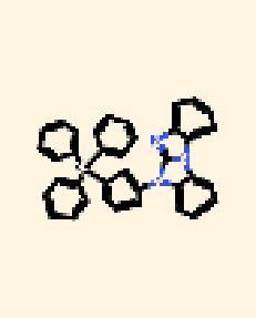 c1ccc([Si](c2ccccc2)(c2ccccc2)c2cccc(-n3c4ccccc4n4c5ccccc5nc34)c2)cc1